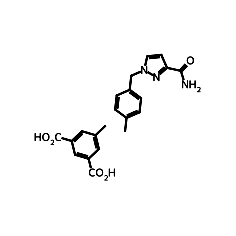 Cc1cc(C(=O)O)cc(C(=O)O)c1.Cc1ccc(Cn2ccc(C(N)=O)n2)cc1